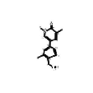 Cc1cc(-c2cc(C)c(=O)n(C)c2)ccc1CO